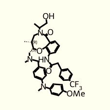 COc1ccc(N(C)c2ccc(CN(C)C[C@H]3Oc4c(NC(=O)Cc5ccc(C(F)(F)F)cc5)cccc4C(=O)N(C(C)CO)C[C@H]3C)cc2)cc1